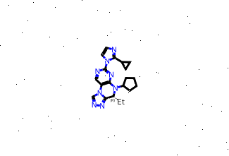 CC[C@@H]1c2nncn2-c2cnc(-n3ccnc3C3CC3)nc2N1C1CCCC1